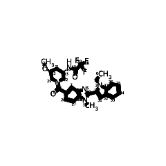 CCn1c(-c2nc3cc(C(=O)N4C[C@@H](NC(=O)C(F)(F)F)C[C@H](OC)C4)ccc3n2C)cc2ccccc21